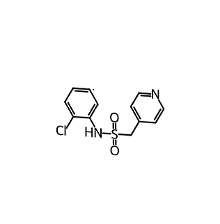 O=S(=O)(Cc1ccncc1)Nc1c[c]ccc1Cl